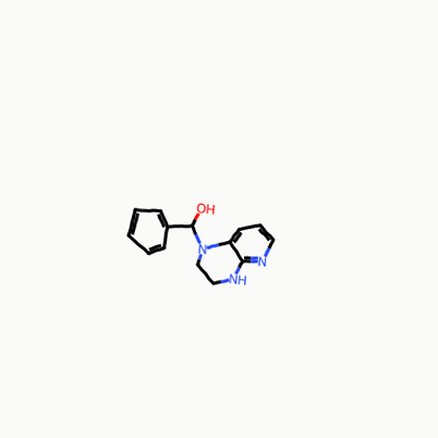 OC(c1ccccc1)N1CCNc2ncccc21